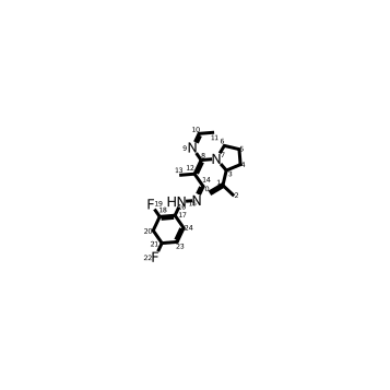 C=C(C)C1CCCN1C(/N=C\C)=C(C)\C=N/NC1=C(F)CC(F)C=C1